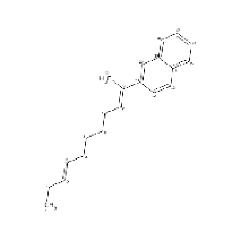 CC/C=C/CCCCC=C(C)c1ccc2ccccc2c1